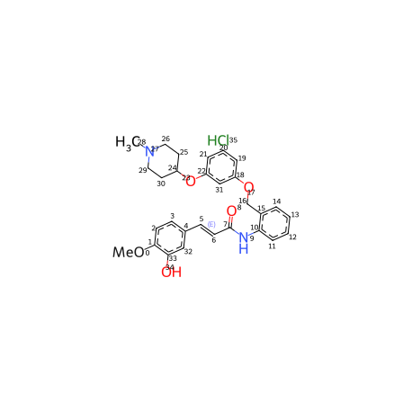 COc1ccc(/C=C/C(=O)Nc2ccccc2COc2cccc(OC3CCN(C)CC3)c2)cc1O.Cl